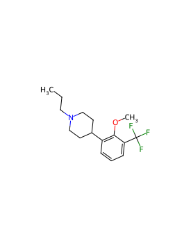 CCCN1CCC(c2cccc(C(F)(F)F)c2OC)CC1